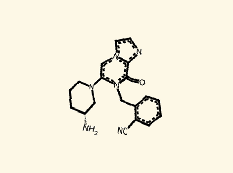 N#Cc1ccccc1Cn1c(N2CCC[C@@H](N)C2)cn2ccnc2c1=O